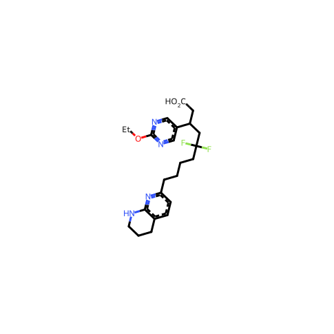 CCOc1ncc(C(CC(=O)O)CC(F)(F)CCCCc2ccc3c(n2)NCCC3)cn1